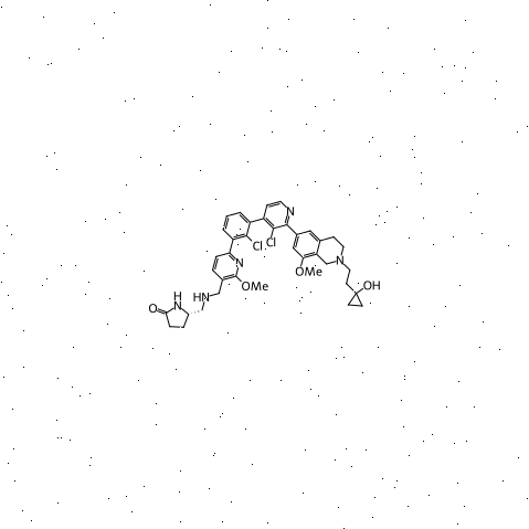 COc1cc(-c2nccc(-c3cccc(-c4ccc(CNC[C@@H]5CCC(=O)N5)c(OC)n4)c3Cl)c2Cl)cc2c1CN(CCC1(O)CC1)CC2